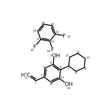 C=Cc1cc(O)c(C2CCCCC2)c(O)c1.Fc1cccc(F)c1F